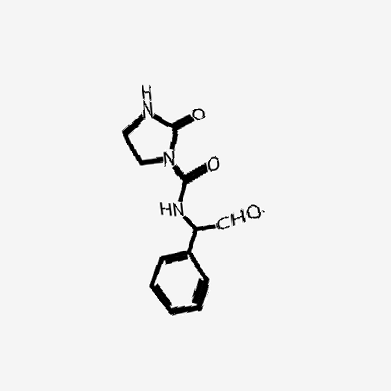 O=[C]C(NC(=O)N1CCNC1=O)c1ccccc1